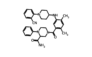 Cc1cc(C)c(C(=O)N2CCN(c3ccccc3)C(C(N)=O)C2)cc1NC1CCN(c2ccccc2C#N)CC1